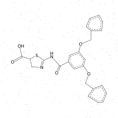 O=C(NC1=NCC(C(=O)O)S1)c1cc(OCc2ccccc2)cc(OCc2ccccc2)c1